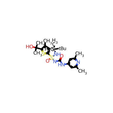 Cc1cc(NC(=O)N=S(=O)(N[Si](C)(C)C(C)(C)C)c2cc(C)c(C(C)(C)O)s2)cc(C)n1